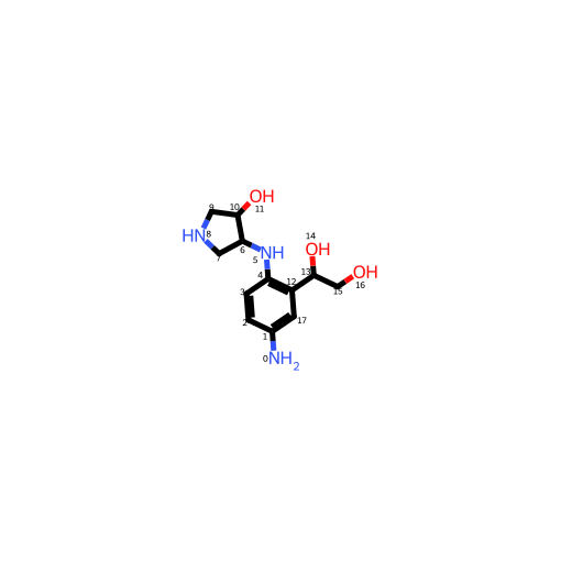 Nc1ccc(NC2CNCC2O)c(C(O)CO)c1